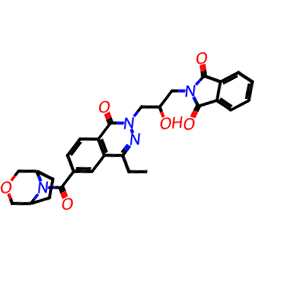 CCc1nn(CC(O)CN2C(=O)c3ccccc3C2=O)c(=O)c2ccc(C(=O)N3C4CCC3COC4)cc12